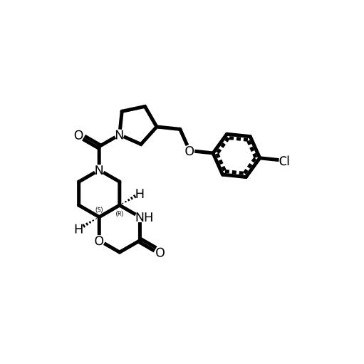 O=C1CO[C@H]2CCN(C(=O)N3CCC(COc4ccc(Cl)cc4)C3)C[C@H]2N1